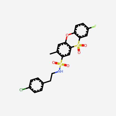 Cc1cc2c(cc1S(=O)(=O)NCCc1ccc(Cl)cc1)S(=O)(=O)c1cc(F)ccc1O2